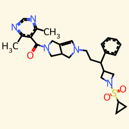 Cc1ncnc(C)c1C(=O)N1CC2=CN(CCC(c3ccccc3)C3CN(S(=O)(=O)C4CC4)C3)CC2C1